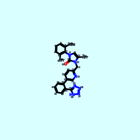 CCCc1cccc(C(C)(C)C)c1-n1cc(CCC)n(Cc2ccc(-c3ccccc3-c3nnn[nH]3)cn2)c1=O